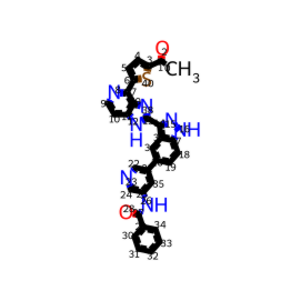 CC(=O)c1ccc(-c2nccc3[nH]c(-c4n[nH]c5ccc(-c6cncc(NC(=O)c7ccccc7)c6)cc45)nc23)s1